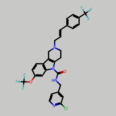 O=C(NCc1ccnc(Cl)c1)n1c2c(c3ccc(OC(F)(F)F)cc31)CN(C/C=C/c1ccc(C(F)(F)F)cc1)CC2